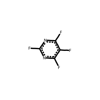 Fc1nc(F)c(F)c(F)n1